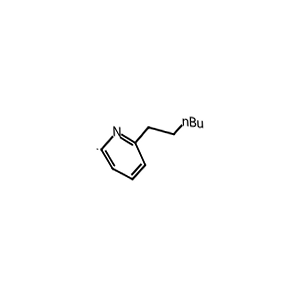 CCCCCCc1ccc[c]n1